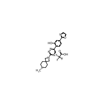 CN1CCC2(CC1)CN(c1ncc(-c3ccc(-c4ncco4)cc3O)nn1)C2.O=C(O)C(F)(F)F